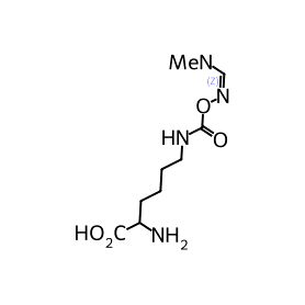 CN/C=N\OC(=O)NCCCCC(N)C(=O)O